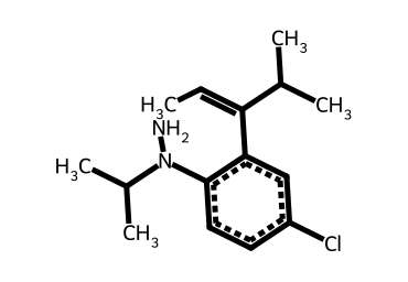 C/C=C(\c1cc(Cl)ccc1N(N)C(C)C)C(C)C